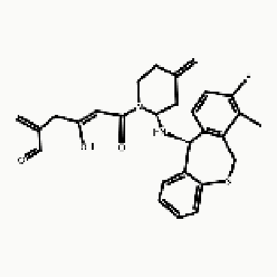 C=C(C=O)C/C(O)=C/C(=O)N1CCC(=C)C[C@H]1N[C@@H]1c2ccccc2SCc2c1ccc(F)c2C